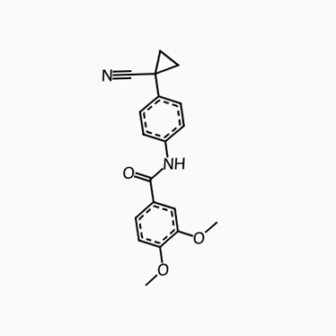 COc1ccc(C(=O)Nc2ccc(C3(C#N)CC3)cc2)cc1OC